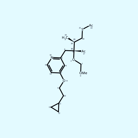 COCO[C@@](Cc1cc(OCCC2CC2)ccn1)(C(C)=O)[C@@H](C)CSC(C)=O